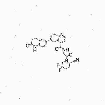 N#CC1CCC(F)(F)CN1C(=O)CNC(=O)c1ccnc2ccc(-c3ccc4c(c3)CCC(=O)N4)cc12